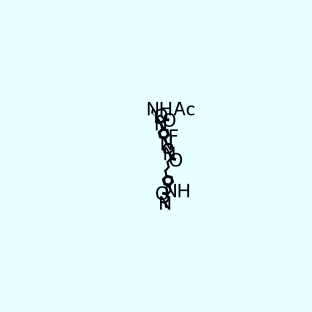 CC(=O)NC[C@H]1CN(c2ccc(N3CCN(C(=O)CCCc4ccc(NC(=O)CN(C)C)cc4)CC3)c(F)c2)C(=O)O1